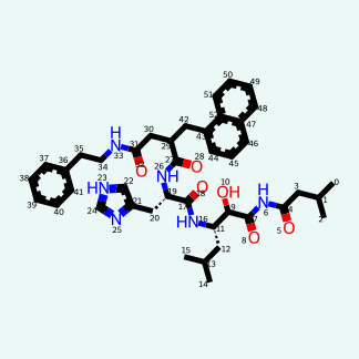 CC(C)CC(=O)NC(=O)C(O)[C@H](CC(C)C)NC(=O)[C@H](Cc1c[nH]cn1)NC(=O)C(CC(=O)NCCc1ccccc1)Cc1cccc2ccccc12